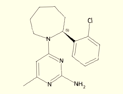 Cc1cc(N2CCCCC[C@H]2c2ccccc2Cl)nc(N)n1